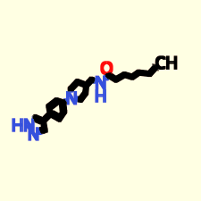 C#CCCCCCC(=O)NCC1CCN(c2ccc(-c3cn[nH]c3)cc2)CC1